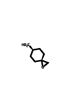 O=C(O)[C@H]1CC[C@@]2(CC1)CO2